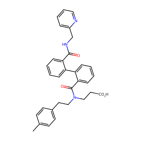 Cc1ccc(CCN(CCC(=O)O)C(=O)c2ccccc2-c2ccccc2C(=O)NCc2ccccn2)cc1